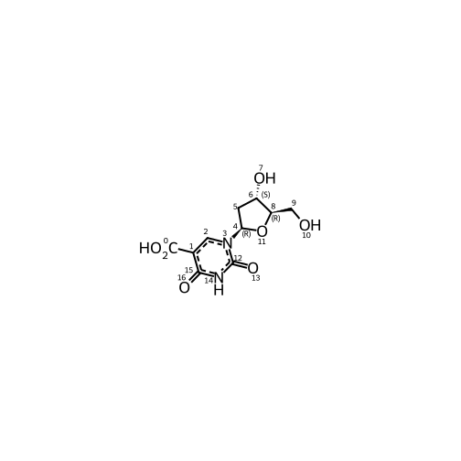 O=C(O)c1cn([C@H]2C[C@H](O)[C@@H](CO)O2)c(=O)[nH]c1=O